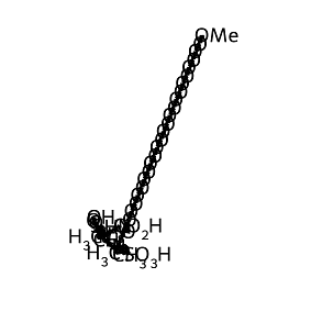 COCCOCCOCCOCCOCCOCCOCCOCCOCCOCCOCCOCCOCCOCCOCCOCCOCCOCCOCCOCCOCCOCCOCCOCCNC(=O)CCCCCN1C(=CC=CC=CC2=[N+](CCCCCC(=O)O)c3ccc(SOOO)cc3C2(C)C)C(C)(C)c2cc(S(=O)(=O)O)ccc21